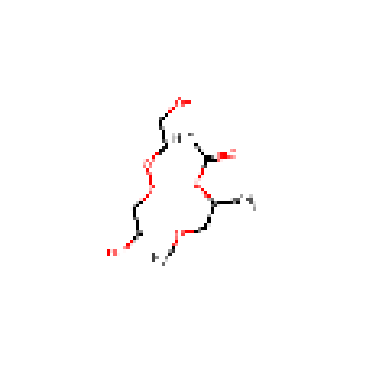 COCC(C)OC(C)=O.OCCOOCCO